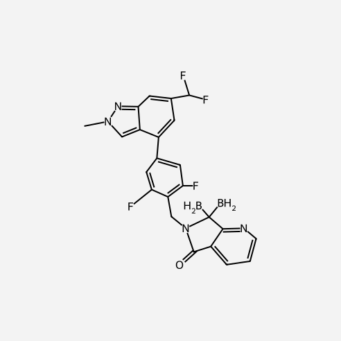 BC1(B)c2ncccc2C(=O)N1Cc1c(F)cc(-c2cc(C(F)F)cc3nn(C)cc23)cc1F